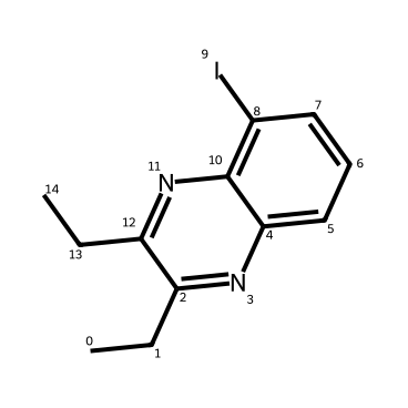 CCc1nc2cccc(I)c2nc1CC